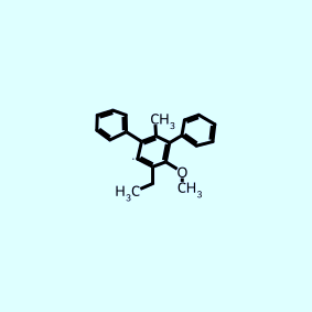 CCc1[c]c(-c2ccccc2)c(C)c(-c2ccccc2)c1OC